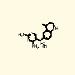 CC1CCNc2ccc(Cc3cnc(N)nc3N)cc21.Cl.Cl